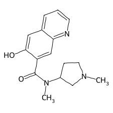 CN1CCC(N(C)C(=O)c2cc3ncccc3cc2O)C1